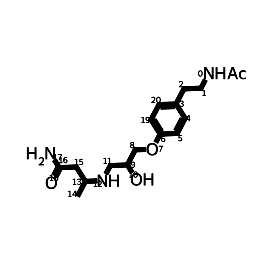 CC(=O)NCCc1ccc(OCC(O)CNC(C)CC(N)=O)cc1